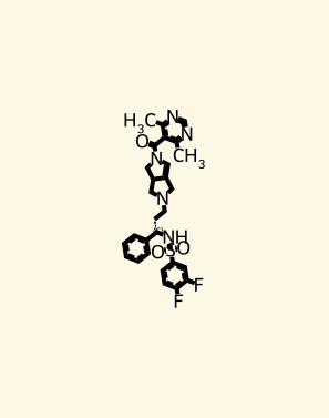 Cc1ncnc(C)c1C(=O)N1C=C2CN(CC[C@H](NS(=O)(=O)c3ccc(F)c(F)c3)c3ccccc3)CC2C1